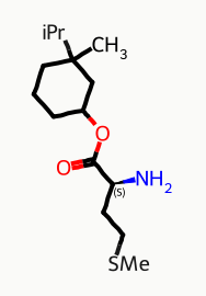 CSCC[C@H](N)C(=O)OC1CCCC(C)(C(C)C)C1